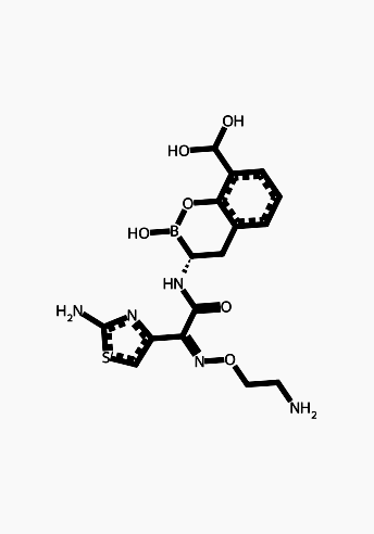 NCCO/N=C(\C(=O)N[C@H]1Cc2cccc(C(O)O)c2OB1O)c1csc(N)n1